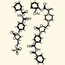 CC(=O)Oc1ccccc1OC(=O)C(C)N1CCN(CC2CN(c3ccc(C(=N)NC(=O)c4ccccc4)cc3)C(=O)O2)CC1.CS(=O)(=O)OCC1CN(c2ccc(C(=N)NC(=O)c3ccccc3)cc2)C(=O)O1